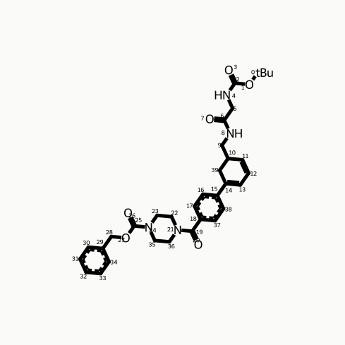 CC(C)(C)OC(=O)NCC(=O)NCC1C=CC=C(c2ccc(C(=O)N3CCN(C(=O)OCc4ccccc4)CC3)cc2)C1